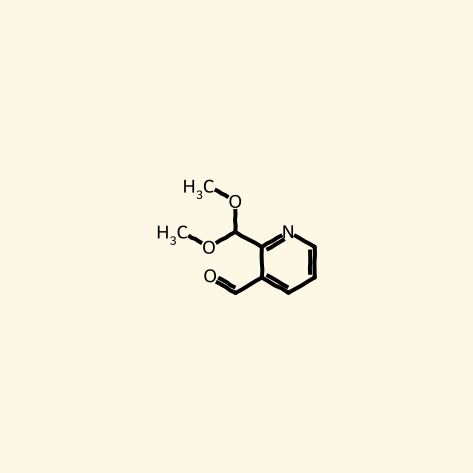 COC(OC)c1ncccc1C=O